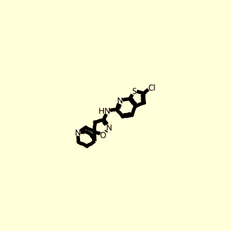 Clc1cc2ccc(NC3=NOC4(C3)CN3CCC4CC3)nc2s1